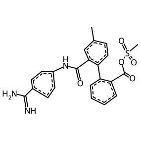 Cc1ccc(-c2ccccc2C(=O)OS(C)(=O)=O)c(C(=O)Nc2ccc(C(=N)N)cc2)c1